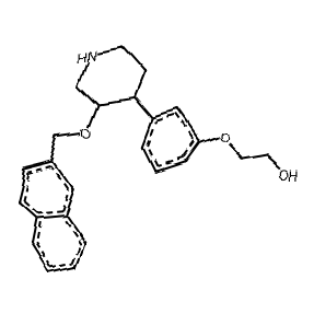 OCCOc1cccc(C2CCNCC2OCc2ccc3ccccc3c2)c1